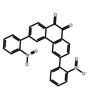 O=C1C(=O)c2ccc(-c3ccccc3[N+](=O)[O-])cc2-c2cc(-c3ccccc3[N+](=O)[O-])ccc21